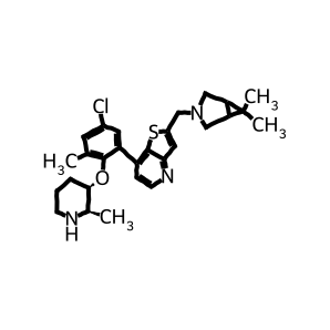 Cc1cc(Cl)cc(-c2ccnc3cc(CN4CC5C(C4)C5(C)C)sc23)c1O[C@H]1CCCN[C@@H]1C